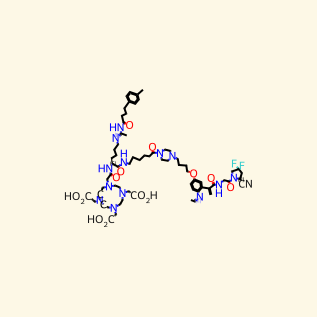 C=C(C(=O)NCC(=O)N1CC(F)(F)C[C@@H]1C#N)c1cc(OCCCCN2CCN(C(=O)CCCCCNC(=O)[C@H](CCCC/N=C(\C)NC(=O)CCCc3ccc(C)cc3)NC(=O)CN3CCN(CC(=O)O)CCN(CC(=O)O)CCN(CC(=O)O)CC3)CC2)ccc1/N=C\C